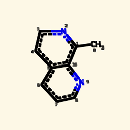 Cc1nccc2cccnc12